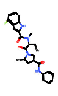 CC(C)CC(C(=O)N1CC(C(=O)Nc2ccccc2)CC1C#N)N(C)C(=O)c1cc2c(F)cccc2[nH]1